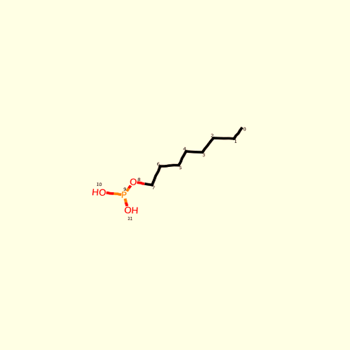 CCCCCCCCOP(O)O